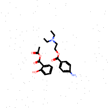 CC(=O)OC(=O)c1ccccc1O.CCN(CC)CCOC(=O)c1ccc(N)cc1